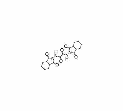 O=C(NN1C(=O)C2CCCCC2C1=O)C(=O)NN1C(=O)C2CCCCC2C1=O